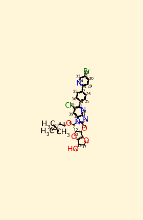 C[Si](C)(C)CCOCn1c(O[C@@H]2COC3C2OC[C@H]3O)nc2nc(-c3ccc(-c4ccc(Br)cn4)cc3)c(Cl)cc21